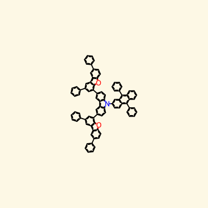 c1ccc(-c2ccc3oc4c(-c5ccc6c(c5)c5cc(-c7cc(-c8ccccc8)cc8c7oc7ccc(-c9ccccc9)cc78)ccc5n6-c5ccc6c(-c7ccccc7)c7ccccc7c(-c7ccccc7)c6c5)cc(-c5ccccc5)cc4c3c2)cc1